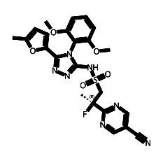 COc1cccc(OC)c1-n1c(NS(=O)(=O)C[C@](C)(F)c2ncc(C#N)cn2)nnc1-c1ccc(C)o1